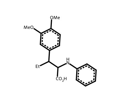 CCC(c1ccc(OC)c(OC)c1)C(Nc1ccccc1)C(=O)O